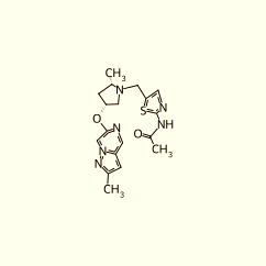 CC(=O)Nc1ncc(CN2C[C@H](Oc3cn4nc(C)cc4cn3)C[C@@H]2C)s1